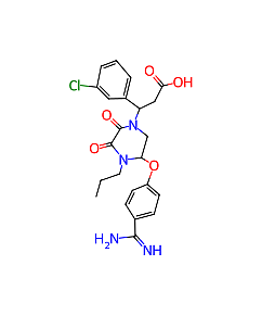 CCCN1C(=O)C(=O)N(C(CC(=O)O)c2cccc(Cl)c2)CC1Oc1ccc(C(=N)N)cc1